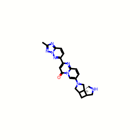 Cc1nc2ccc(-c3cc(=O)n4cc(N5CC6CC7CNC[C@]76C5)ccc4n3)nn2n1